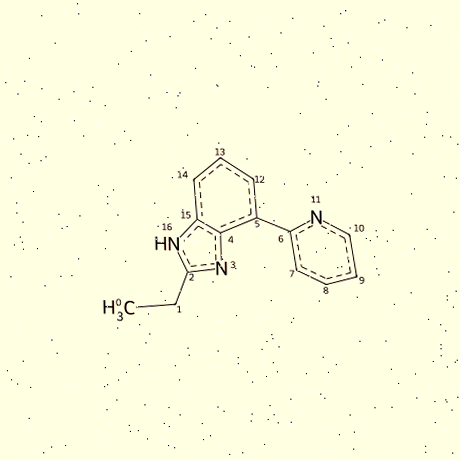 CCc1nc2c(-c3ccccn3)cccc2[nH]1